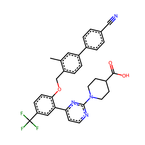 Cc1cc(-c2ccc(C#N)cc2)ccc1COc1ccc(C(F)(F)F)cc1-c1ccnc(N2CCC(C(=O)O)CC2)n1